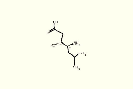 CC(C)C[C@H](N)[C@H](O)CC(=O)O